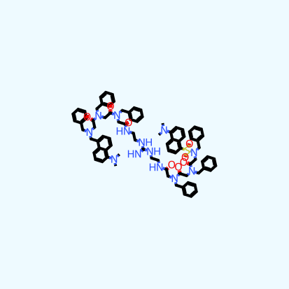 CN(C)c1cccc2c(CN(CC(=O)N(CC(=O)N(CC(=O)NCCNC(=N)NCCNC(=O)CN(Cc3ccccc3)C(=O)CN(Cc3ccccc3)C(=O)CN(Cc3ccccc3)S(=O)(=O)c3cccc4c(N(C)C)cccc34)Cc3ccccc3)Cc3ccccc3)Cc3ccccc3)cccc12